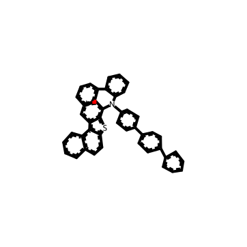 c1ccc(-c2ccc(-c3ccc(N(c4ccccc4-c4ccccc4)c4cncc5c4sc4ccc6ccccc6c45)cc3)cc2)cc1